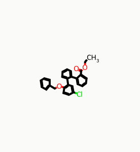 CCOC(=O)c1ccccc1-c1ccccc1-c1cc(Cl)ccc1OCc1ccccc1